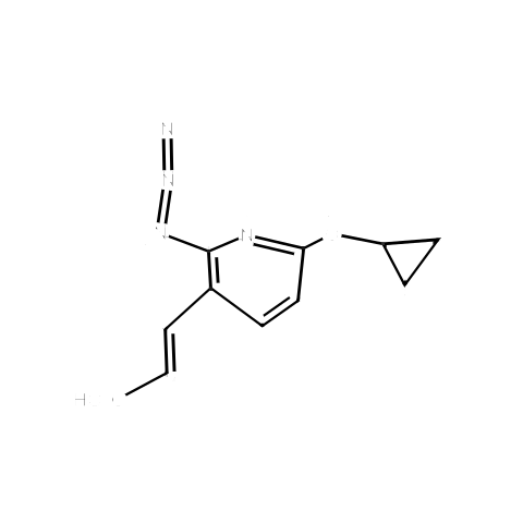 [N-]=[N+]=Nc1nc(OC2CC2)ccc1C=CC(=O)O